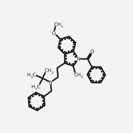 COc1ccc2c(c1)c(CCN(Cc1ccccc1)C(C)(C)C)c(C)n2C(=O)c1ccccc1